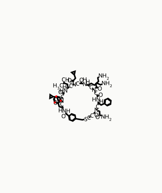 CC(C)C[C@H]1CN(C(=O)CC2CC2)CC(=O)N[C@@H](CCCCN)CN(C(=O)CCCN)CC(=O)N[C@@H](Cc2ccccc2)CN(CC(N)=O)C(=O)CCSCc2ccc(cc2)C(=O)N[C@@H](Cc2ccccc2)CN(C(=O)CC2CC2)CC(=O)N1